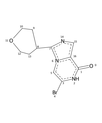 O=c1[nH]c(Br)cn2c(C3CCOCC3)ncc12